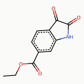 CCOC(=O)c1ccc2c(c1)NC(=O)C2=O